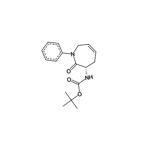 CC(C)(C)OC(=O)N[C@H]1CC=CCN(c2ccccc2)C1=O